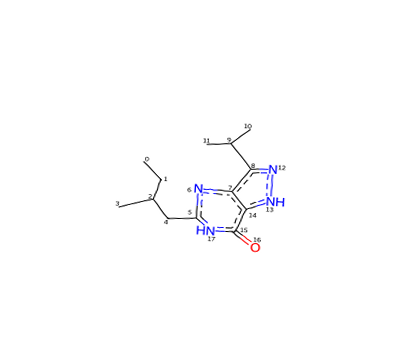 CCC(C)Cc1nc2c(C(C)C)n[nH]c2c(=O)[nH]1